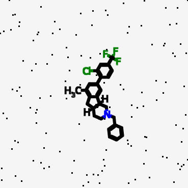 Cc1cc(-c2ccc(C(F)(F)F)cc2Cl)cc2c1C[C@H]1CCN(Cc3ccccc3)C[C@@H]21